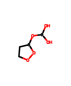 OB(O)OB1CCOO1